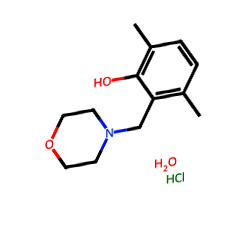 Cc1ccc(C)c(CN2CCOCC2)c1O.Cl.O